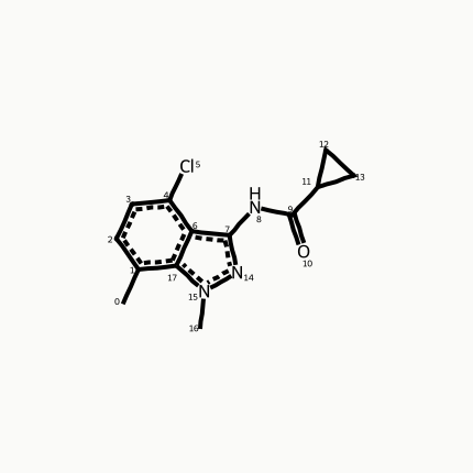 Cc1ccc(Cl)c2c(NC(=O)C3CC3)nn(C)c12